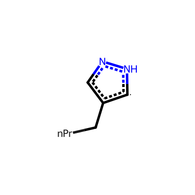 CCCCc1[c][nH]nc1